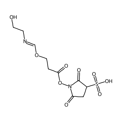 O=C(CCO/C=N/CCO)ON1C(=O)CC(S(=O)(=O)O)C1=O